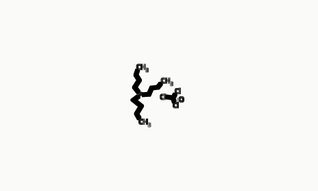 CCCCP(CCCC)CCCC.ClC(Cl)Cl.[O]